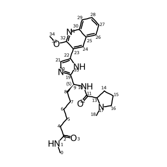 CNC(=O)CCCCC[C@H](NC(=O)C1CCCN1C)c1ncc(-c2cc3ccccc3nc2OC)[nH]1